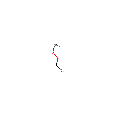 C[CH]COOOC